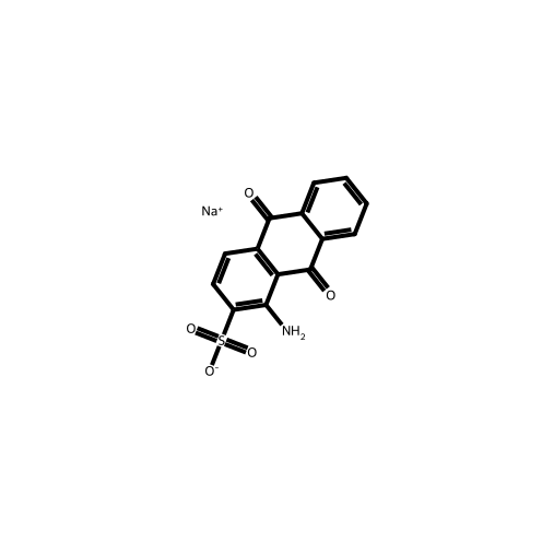 Nc1c(S(=O)(=O)[O-])ccc2c1C(=O)c1ccccc1C2=O.[Na+]